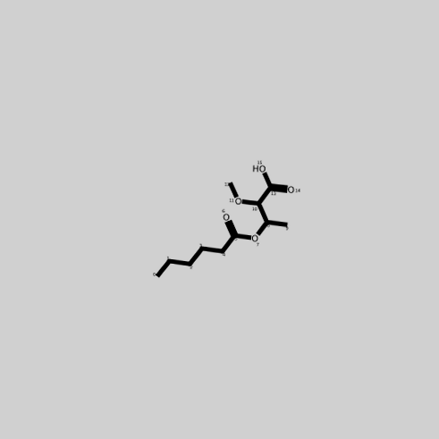 CCCCCC(=O)OC(C)C(OC)C(=O)O